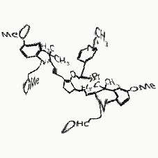 COCC[N+]1=C(/C=C/C2=C(OC(c3cc[n+](C)cc3)C(C)C)C(=C/C=C3/N(CCC=O)c4ccc(OC)cc4C3(C)C)/CC2)C(C)(C)c2cc(OC)ccc21